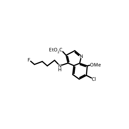 CCOC(=O)c1cnc2c(OC)c(Cl)ccc2c1NCCCCF